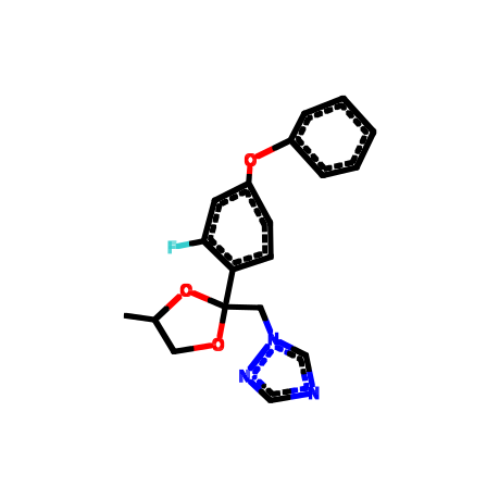 CC1COC(Cn2cncn2)(c2ccc(Oc3ccccc3)cc2F)O1